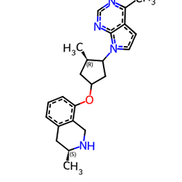 Cc1ncnc2c1ccn2C1CC(Oc2cccc3c2CN[C@@H](C)C3)C[C@H]1C